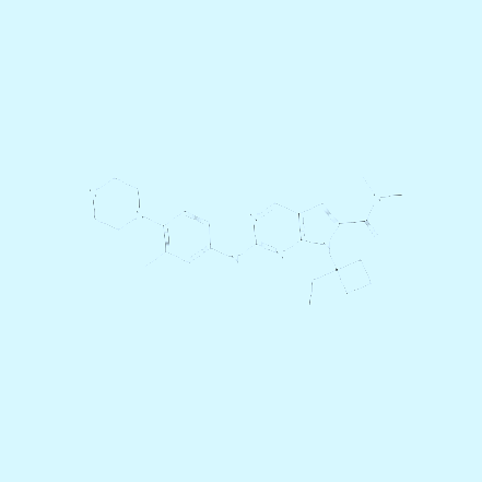 CCC1(n2c(C(=O)N(C)C)cc3cnc(Nc4ccc(N5CCNCC5)c(C)c4)nc32)CCC1